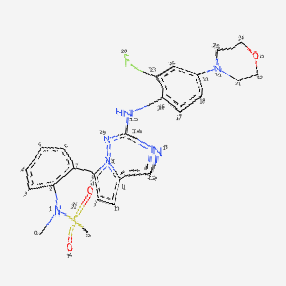 CN(c1ccccc1-c1ccc2cnc(Nc3ccc(N4CCOCC4)cc3F)nn12)S(C)(=O)=O